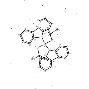 CC(C)(C)C(=O)[O][Ti]([O]C(=O)C(C)(C)C)([CH]1c2ccccc2-c2ccccc21)[CH]1c2ccccc2-c2ccccc21